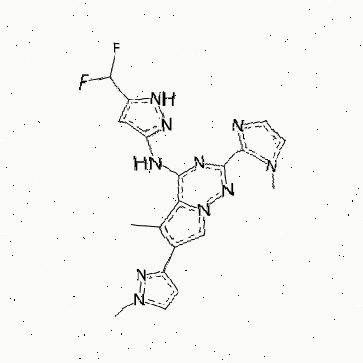 Cc1c(-c2ccn(C)n2)cn2nc(-c3nccn3C)nc(Nc3cc(C(F)F)[nH]n3)c12